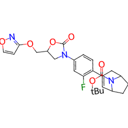 CC(C)(C)OC(=O)N1C2C=C(c3ccc(N4CC(COc5ccon5)OC4=O)cc3F)CC1CC2